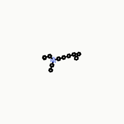 c1ccc(-c2ccc(-c3nc(-c4ccc(-c5ccc(-c6ccc(-c7ccc8c(c7)C7(CCCCC7)c7ccccc7-8)cc6)cc5)cc4)nc(-c4cccc(-c5ccccc5)c4)n3)cc2)cc1